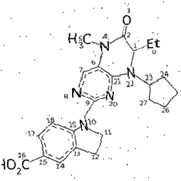 CCC1C(=O)N(C)c2cnc(N3CCc4cc(C(=O)O)ccc43)nc2N1C1CCCC1